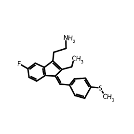 CCC1=C(CCN)c2cc(F)ccc2/C1=C/c1ccc(SC)cc1